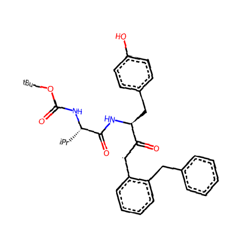 CC(C)[C@H](NC(=O)OC(C)(C)C)C(=O)N[C@@H](Cc1ccc(O)cc1)C(=O)[CH]c1ccccc1Cc1ccccc1